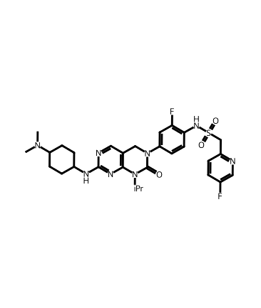 CC(C)N1C(=O)N(c2ccc(NS(=O)(=O)Cc3ccc(F)cn3)c(F)c2)Cc2cnc(NC3CCC(N(C)C)CC3)nc21